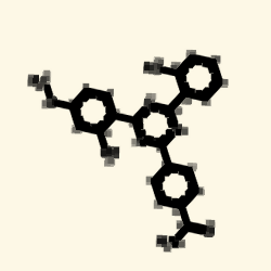 COc1ccc(-c2nc(-c3ccc(C(N)=O)cc3)nc(-c3ccccc3O)n2)c(O)c1